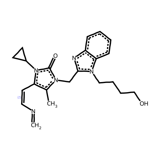 C=N/C=C\c1c(C)n(Cc2nc3ccccc3n2CCCCO)c(=O)n1C1CC1